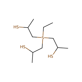 CCS(CC(C)S)(CC(C)S)CC(C)S